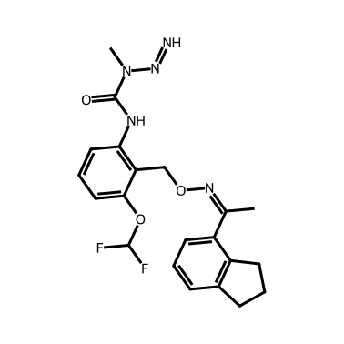 C/C(=N/OCc1c(NC(=O)N(C)N=N)cccc1OC(F)F)c1cccc2c1CCC2